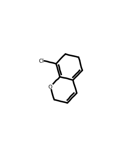 ClC1=C2OCC=CC2=CCC1